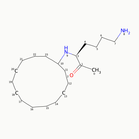 CC(=O)[C@H](CCCCN)NC1CCCCCCCCCCCCC1